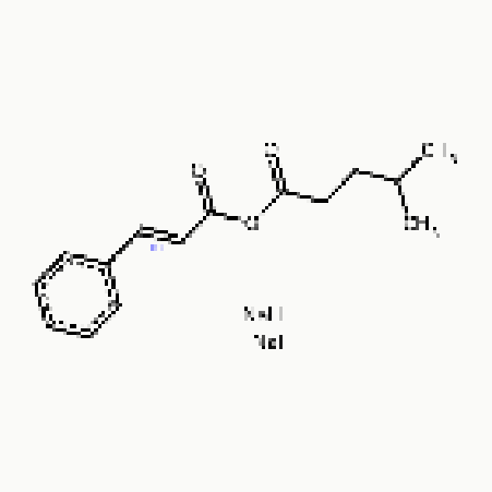 CC(C)CCC(=O)OC(=O)/C=C/c1ccccc1.[NaH].[NaH]